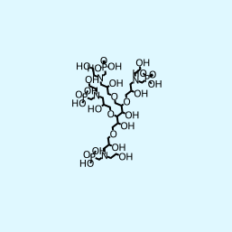 O=P(O)(O)CN(CCO)CC(O)COCC(O)C(OCC(O)CN(CCO)CP(=O)(O)O)C(O)C(COCC(O)CN(CCO)CP(=O)(O)O)OCC(O)CN(CCO)CP(=O)(O)O